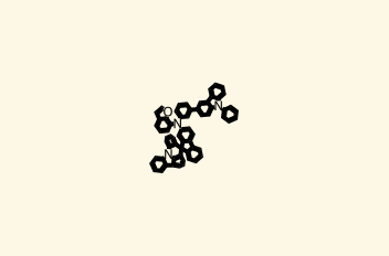 c1ccc(-n2c3ccccc3c3cc(-c4cccc(N(c5ccc6c(c5)C5(c7ccccc7-6)c6ccccc6-n6c7ccccc7c7cccc5c76)c5cccc6ccoc56)c4)ccc32)cc1